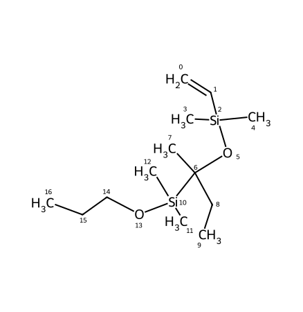 C=C[Si](C)(C)OC(C)(CC)[Si](C)(C)OCCC